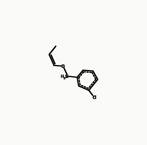 C/C=C\O[SiH2]c1cccc(Cl)c1